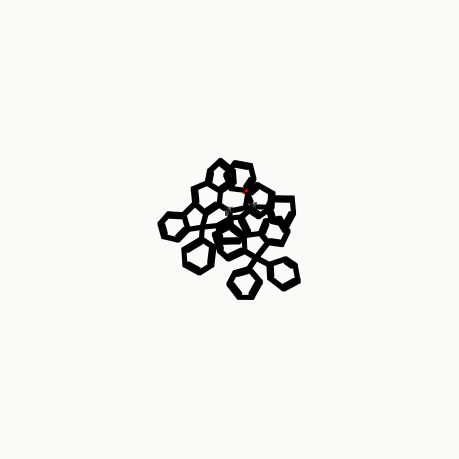 c1ccc(N(c2ccccc2)c2ccc3c(c2)C2(c4ccccc4-3)c3ccccc3-c3cc4ccccc4c(N(c4ccccc4)c4cccc5c4-c4ccccc4C5(c4ccccc4)c4ccccc4)c32)cc1